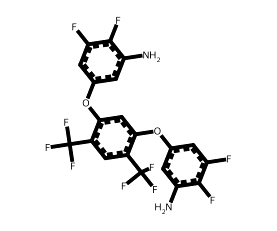 Nc1cc(Oc2cc(Oc3cc(N)c(F)c(F)c3)c(C(F)(F)F)cc2C(F)(F)F)cc(F)c1F